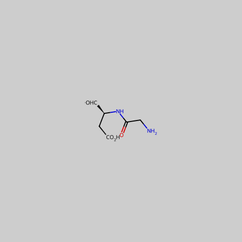 NCC(=O)N[C@H]([C]=O)CC(=O)O